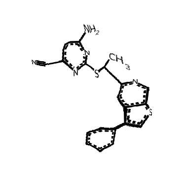 CC(Sc1nc(N)cc(C#N)n1)c1cc2c(-c3ccccc3)csc2cn1